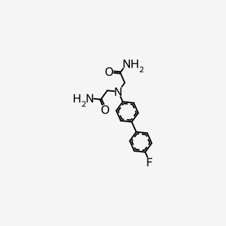 NC(=O)CN(CC(N)=O)c1ccc(-c2ccc(F)cc2)cc1